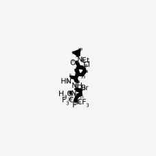 CCN(C(=O)c1cc(/C(C=N)=C/Nc2c(Br)cc(C(F)(C(F)(F)F)C(F)(F)F)n2C)ccc1Cl)C1CC1